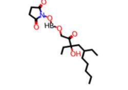 CCCCCC(CC)CC(O)(CC)C(=O)COBON1C(=O)CCC1=O